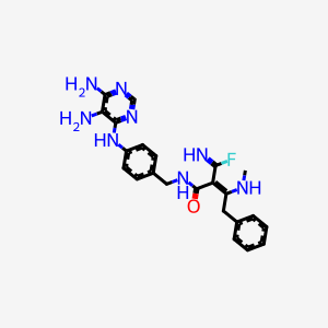 CN/C(Cc1ccccc1)=C(\C(=N)F)C(=O)NCc1ccc(Nc2ncnc(N)c2N)cc1